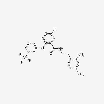 Cc1ccc(CCNC(=O)c2cc(Cl)nnc2Oc2cccc(C(F)(F)F)c2)c(C)c1